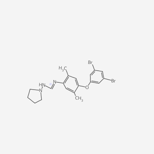 Cc1cc(Oc2cc(Br)cc(Br)c2)c(C)cc1/N=C/NN1CCCC1